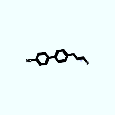 N#Cc1ccc(-c2ccc(C/C=C/F)cc2)cc1